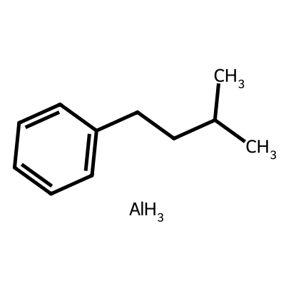 CC(C)CCc1ccccc1.[AlH3]